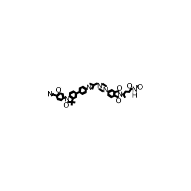 COc1cc(N2C(=O)C(C)(C)c3cc(-c4ccc(N5CC(CN6CCN(c7ccc8c(c7)C(=O)N(C(C)CCC(=O)NC=O)C8=O)CC6)C5)cc4)ccc32)ccc1C#N